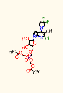 CCCC(=O)OCOP(=O)(COC[C@H]1O[C@@H](n2ccc3c(N4CCC(F)(F)C4)c(C#N)c(Cl)nc32)[C@H](O)[C@@H]1O)OCOC(=O)CCC